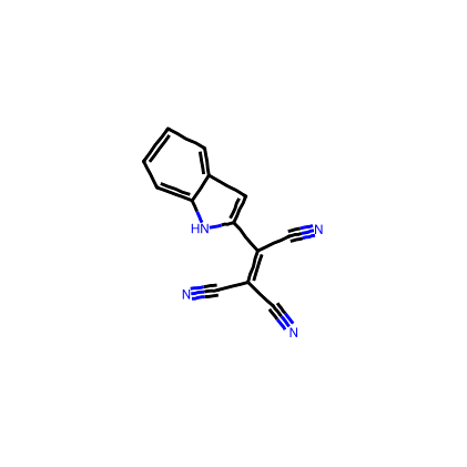 N#CC(C#N)=C(C#N)c1cc2ccccc2[nH]1